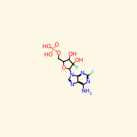 Nc1nc(F)nc2c1ncn2C1OC(COP(=O)(O)O)C(O)C1(O)F